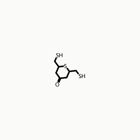 O=C1CC(CS)SC(CS)C1